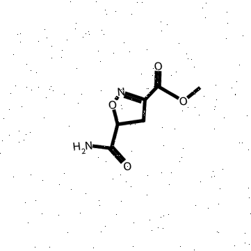 COC(=O)C1=NOC(C(N)=O)C1